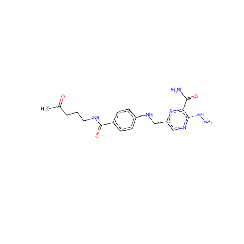 CC(=O)CCCNC(=O)c1ccc(NCc2cnc(NN)c(C(N)=O)n2)cc1